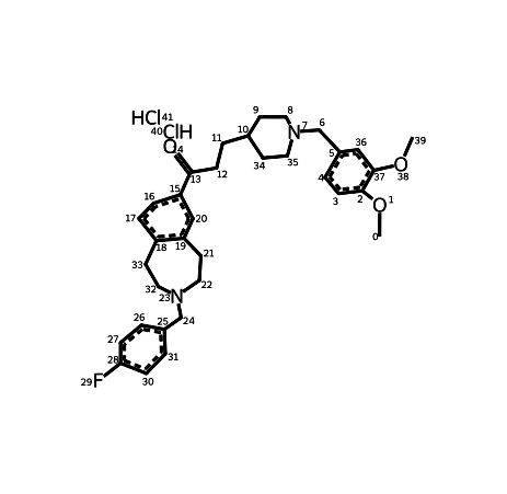 COc1ccc(CN2CCC(CCC(=O)c3ccc4c(c3)CCN(Cc3ccc(F)cc3)CC4)CC2)cc1OC.Cl.Cl